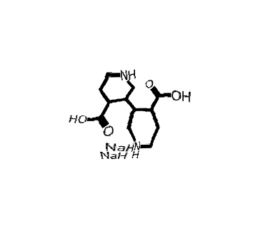 O=C(O)C1CCNCC1C1CNCCC1C(=O)O.[NaH].[NaH]